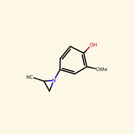 COc1cc(N2CC2C#N)ccc1O